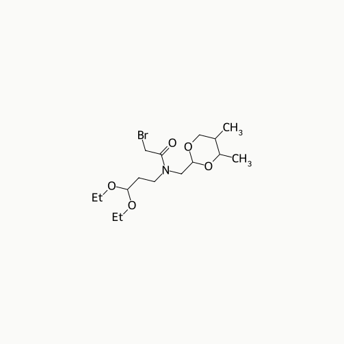 CCOC(CCN(CC1OCC(C)C(C)O1)C(=O)CBr)OCC